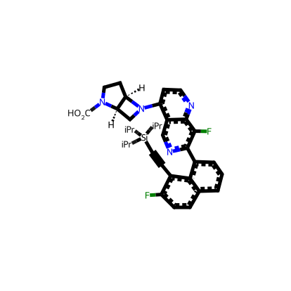 CC(C)[Si](C#Cc1c(F)ccc2cccc(-c3ncc4c(N5C[C@@H]6[C@H]5CCN6C(=O)O)ccnc4c3F)c12)(C(C)C)C(C)C